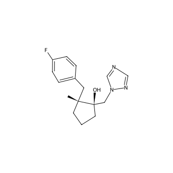 C[C@]1(Cc2ccc(F)cc2)CCC[C@@]1(O)Cn1cncn1